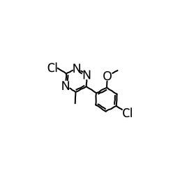 COc1cc(Cl)ccc1-c1nnc(Cl)nc1C